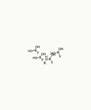 OB(O)F.OB(O)F.OB(O)F.OB(O)F.[B]